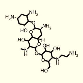 CNC1C(OC2OC(CO)C(NCCN)C(O)C2O)O[C@H]2C[C@H](N)C(OC3C(N)C[C@@H](N)C[C@H]3O)OC2C1O